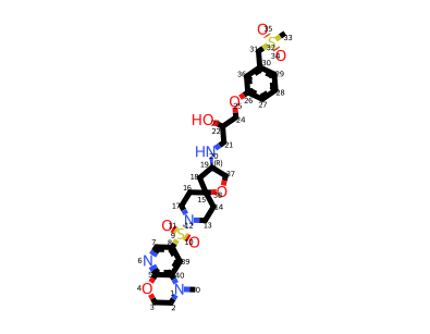 CN1CCOc2ncc(S(=O)(=O)N3CCC4(CC3)C[C@@H](NCC(O)COc3cccc(CS(C)(=O)=O)c3)CO4)cc21